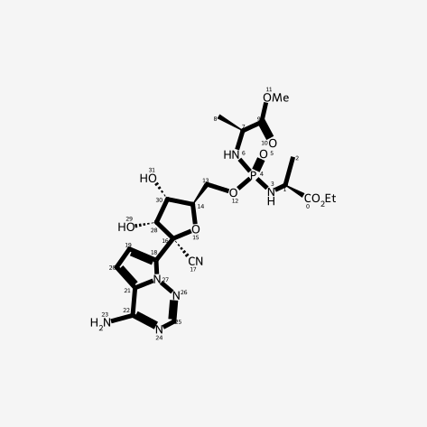 CCOC(=O)[C@H](C)NP(=O)(N[C@@H](C)C(=O)OC)OC[C@H]1O[C@@](C#N)(c2ccc3c(N)ncnn23)[C@H](O)[C@@H]1O